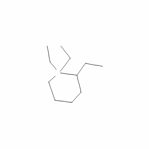 CCC1CCCC[Si]1(CC)CC